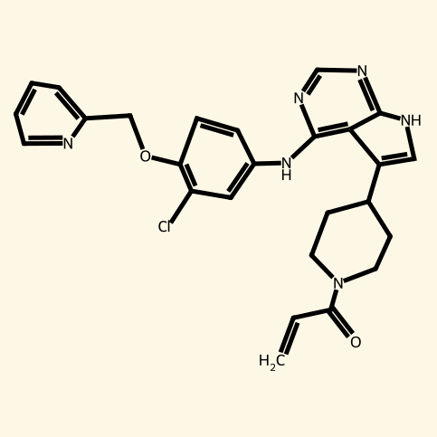 C=CC(=O)N1CCC(c2c[nH]c3ncnc(Nc4ccc(OCc5ccccn5)c(Cl)c4)c23)CC1